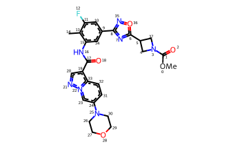 COC(=O)N1CC(c2nc(-c3cc(F)c(C)c(NC(=O)c4cnn5cc(N6CCOCC6)ccc45)c3)no2)C1